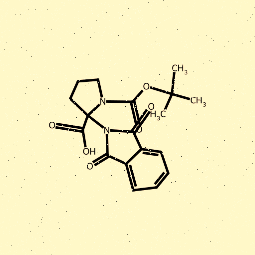 CC(C)(C)OC(=O)N1CCCC1(C(=O)O)N1C(=O)c2ccccc2C1=O